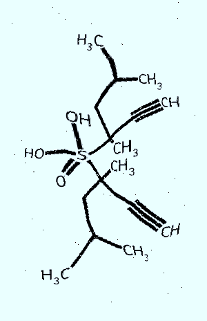 C#CC(C)(CC(C)C)S(=O)(O)(O)C(C)(C#C)CC(C)C